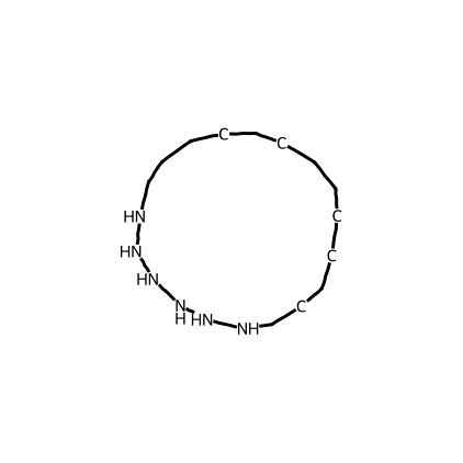 C1CCCCCCNNNNNNCCCCCC1